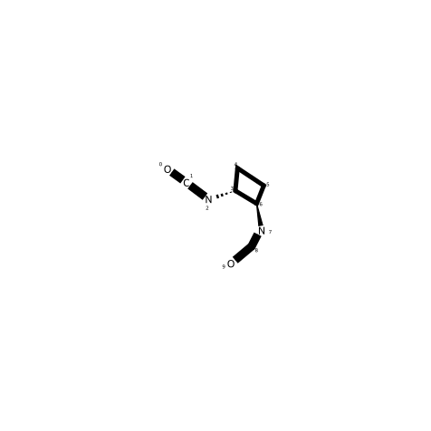 O=C=N[C@@H]1CC[C@H]1N=C=O